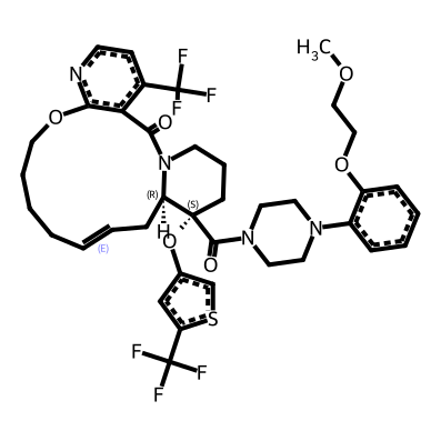 COCCOc1ccccc1N1CCN(C(=O)[C@]2(Oc3csc(C(F)(F)F)c3)CCCN3C(=O)c4c(C(F)(F)F)ccnc4OCCCC/C=C/C[C@@H]32)CC1